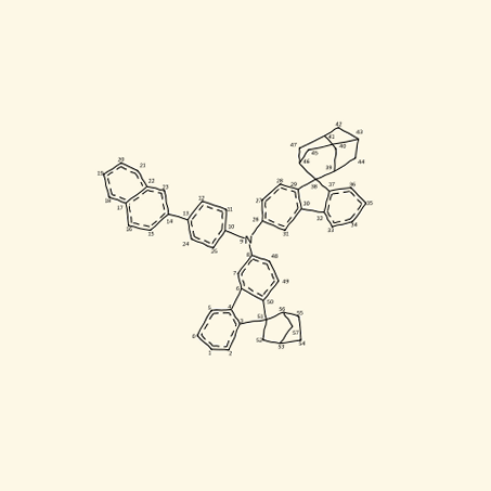 c1ccc2c(c1)-c1cc(N(c3ccc(-c4ccc5ccccc5c4)cc3)c3ccc4c(c3)-c3ccccc3C43C4CC5CC(C4)CC3C5)ccc1C21CC2CCC1C2